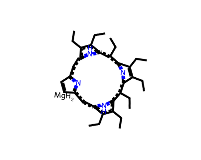 CCC1=C(CC)c2nc1c(CC)c1[nH]c(cc3nc(cc4[nH]c(c2CC)c(CC)c4CC)C=C3)c(CC)c1CC.[MgH2]